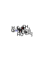 CN(C)c1cc(O)c2c3c1C[C@@H]1[C@@H]4CC[C@H](N(C)C(=O)/C=C/c5ccoc5)[C@H](O2)[C@]34CCN1C